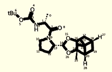 C[C@@H](NC(=O)OC(C)(C)C)C(=O)N1CCC[C@H]1C1OC2C[C@@H]3C[C@@H](C3(C)C)[C@]2(C)O1